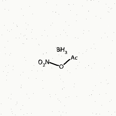 CC(=O)O[N+](=O)[O-].[BiH3]